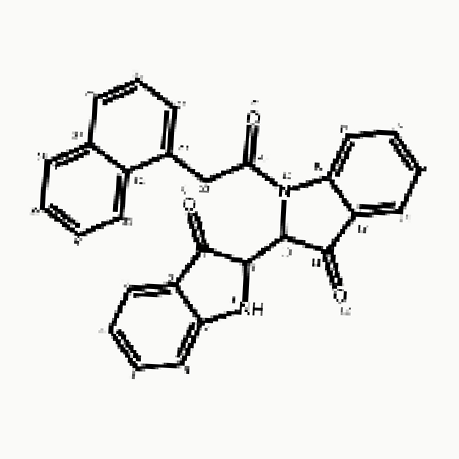 O=C1c2ccccc2NC1C1C(=O)c2ccccc2N1C(=O)Cc1cccc2ccccc12